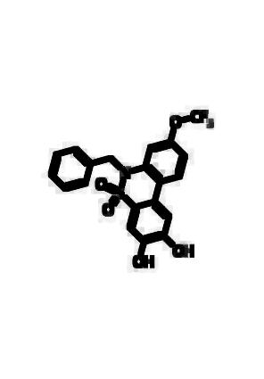 O=S1(=O)c2cc(O)c(O)cc2-c2ccc(OC(F)(F)F)cc2N1Cc1ccccc1